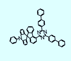 c1ccc(-c2ccc(-c3nc(-c4ccc(-c5ccccc5)cc4)nc(-c4cccc5c4-c4ccccc4C54c5ccccc5N(c5ccccc5)c5ccccc54)n3)cc2)cc1